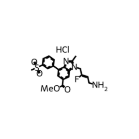 COC(=O)c1cc(-c2cccc(S(C)(=O)=O)c2)c2nc(C)n(CC(F)=CCN)c2c1.Cl